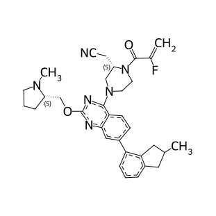 C=C(F)C(=O)N1CCN(c2nc(OC[C@@H]3CCCN3C)nc3cc(-c4cccc5c4CC(C)C5)ccc23)C[C@@H]1CC#N